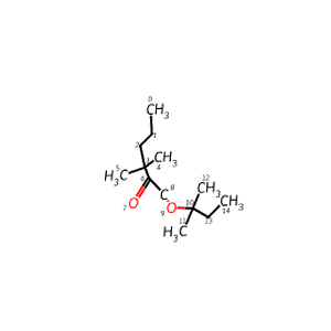 CCCC(C)(C)C(=O)COC(C)(C)CC